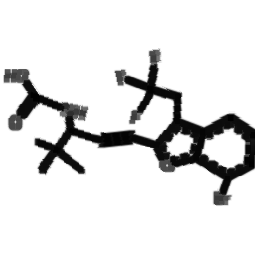 CC(C)(C)C(C#Cc1oc2c(Br)cccc2c1CC(F)(F)F)NC(=O)O